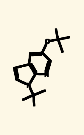 CC(C)(C)Oc1cnc2c(ccn2C(C)(C)C)c1